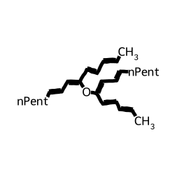 CC=CC=CC(=CC=CCCCCC)OC(C=CC=CC)=CC=CCCCCC